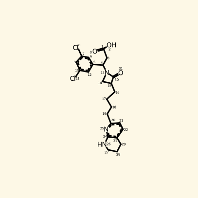 O=C(O)CC(c1cc(Cl)cc(Cl)c1)N1CC(CCCCc2ccc3c(n2)NCCC3)C1=O